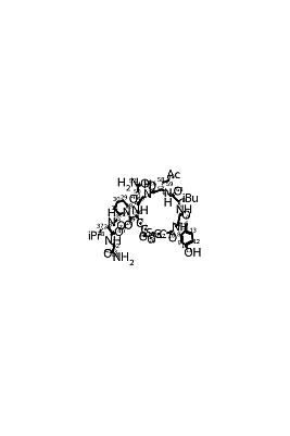 CC[C@H](C)[C@@H]1NC(=O)[C@H](Cc2ccc(O)cc2)NC(=O)CCS(=O)(=O)CC[C@@H](C(=O)N2CCCC[C@H]2C(=O)N[C@@H](CC(C)C)C(=O)NCC(N)=O)NC(=O)[C@H](CC(N)=O)NC(=O)[C@H](CCC(C)=O)NC1=O